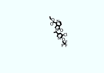 CCOC(=O)c1nccc2c1CN(C(C)c1cnc(OCC(F)(F)F)c(Cl)c1)C2=O